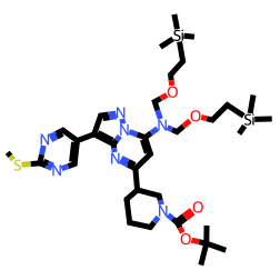 CSc1ncc(-c2cnn3c(N(COCC[Si](C)(C)C)COCC[Si](C)(C)C)cc(C4CCCN(C(=O)OC(C)(C)C)C4)nc23)cn1